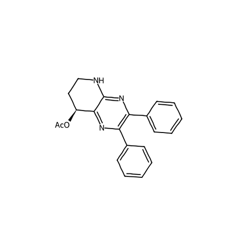 CC(=O)O[C@H]1CCNc2nc(-c3ccccc3)c(-c3ccccc3)nc21